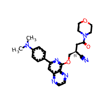 CN(C)c1ccc(-c2cc3nccnc3c(OC[C@H](C#N)CC(=O)N3CCOCC3)n2)cc1